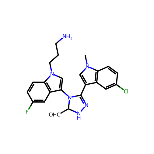 Cn1cc(C2=NNC(C=O)N2c2cn(CCCN)c3ccc(F)cc23)c2cc(Cl)ccc21